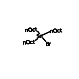 CCCCCCC[CH2][Sn]([Br])([CH2]CCCCCCC)[CH2]CCCCCCC